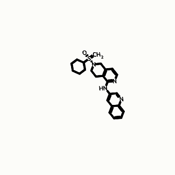 C=S(=O)(C1CCCCC1)N1CCc2c(ccnc2Nc2cnc3ccccc3c2)C1